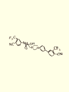 CC(O)(CN1CCN(c2ccc(-c3ccc(C#N)c(C(F)(F)F)c3)cc2)CC1)C(=O)Nc1ccc(C#N)c(C(F)(F)F)c1